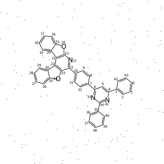 c1ccc(-c2cc(-c3ccc(-c4nc5oc6ccccc6c5c5c4oc4ccccc45)cc3)nc(-c3ccccc3)n2)cc1